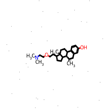 C[C@@H]1Cc2cc(O)ccc2C2CCC3(C)C(CCOCCN(C)C)CCC3C21